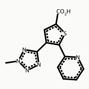 Cn1nnc(-c2cc(C(=O)O)sc2-c2ccccn2)n1